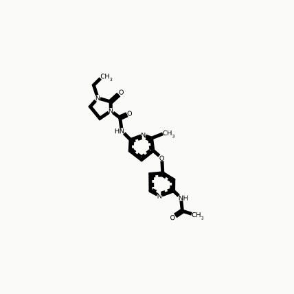 CCN1CCN(C(=O)Nc2ccc(Oc3ccnc(NC(C)=O)c3)c(C)n2)C1=O